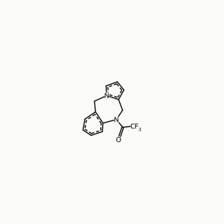 O=C(N1Cc2cccn2Cc2ccccc21)C(F)(F)F